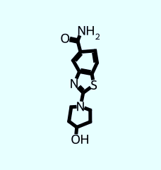 NC(=O)c1ccc2sc(N3CCC(O)CC3)nc2c1